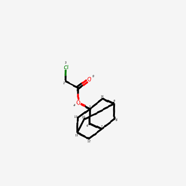 O=C(CCl)OC12CC3CC(CC(C3)C1)C2